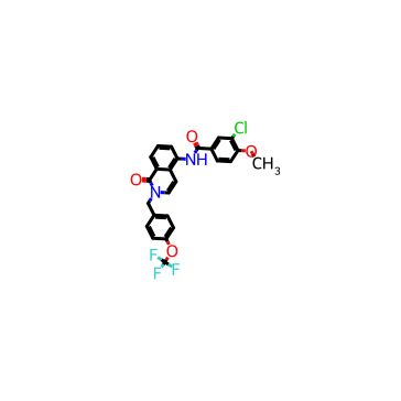 COc1ccc(C(=O)Nc2cccc3c(=O)n(Cc4ccc(OC(F)(F)F)cc4)ccc23)cc1Cl